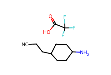 N#CCCC1CCC(N)CC1.O=C(O)C(F)(F)F